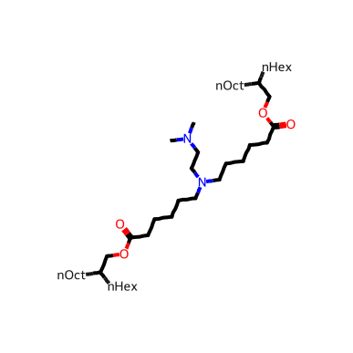 CCCCCCCCC(CCCCCC)COC(=O)CCCCCN(CCCCCC(=O)OCC(CCCCCC)CCCCCCCC)CCN(C)C